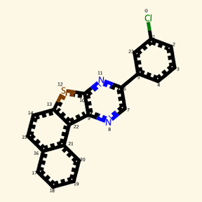 Clc1cccc(-c2cnc3c(n2)sc2ccc4ccccc4c23)c1